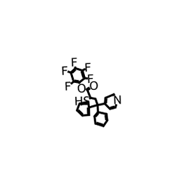 O=C(Oc1c(F)c(F)c(F)c(F)c1F)C(S)CC(c1ccccc1)(c1ccccc1)c1ccncc1